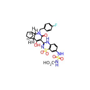 O=C(O)NS(=O)(=O)Nc1ccc2c(c1)S(=O)(=O)N=C(C1=C(O)[C@@H]3[C@H]4CC[C@H](C4)[C@@H]3N(Cc3ccc(F)cc3)C1=O)N2